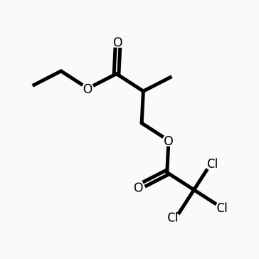 CCOC(=O)C(C)COC(=O)C(Cl)(Cl)Cl